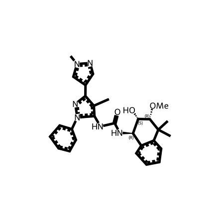 CO[C@H]1[C@@H](O)[C@H](NC(=O)Nc2c(C)c(-c3cnn(C)c3)nn2-c2ccccc2)c2ccccc2C1(C)C